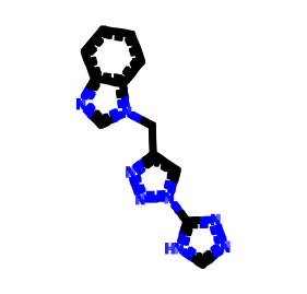 c1ccc2c(c1)ncn2Cc1cn(-c2nnc[nH]2)nn1